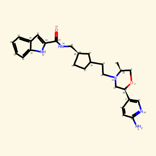 C[C@H]1CO[C@@H](c2ccc(N)nc2)CN1CCC1CC[C@@H](CNC(=O)c2cc3ccccc3[nH]2)C1